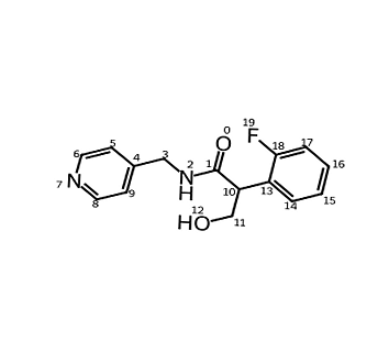 O=C(NCc1ccncc1)C(CO)c1ccccc1F